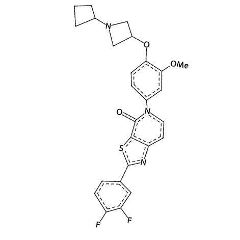 COc1cc(-n2ccc3nc(-c4ccc(F)c(F)c4)sc3c2=O)ccc1OC1CN(C2CCC2)C1